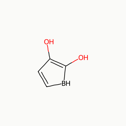 OC1=C(O)C=CB1